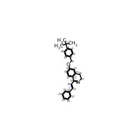 CC(C)(C)c1ccc(COc2ccc3c(c2)CCN=C3/C=C/c2ccccc2)cc1